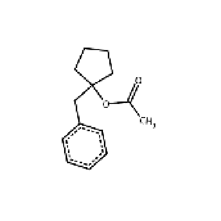 CC(=O)OC1(Cc2ccccc2)CCCC1